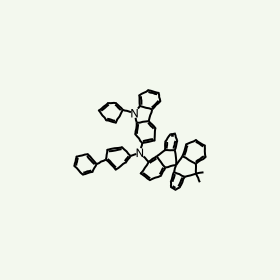 CC1(C)c2ccccc2C2(c3ccccc3-c3c(N(c4ccc(-c5ccccc5)cc4)c4ccc5c6ccccc6n(-c6ccccc6)c5c4)cccc32)c2ccccc21